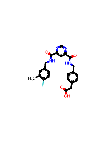 Cc1cc(CNC(=O)c2cc(C(=O)NCc3ccc(CC(=O)O)cc3)ncn2)ccc1F